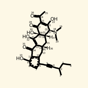 CCC(C)C#Cc1ccc(O)c2c1C[C@H]1C[C@H]3[C@H](N(C)C)C(O)=C(C(C)=O)C(=O)[C@@]3(O)C(O)=C1C2=O